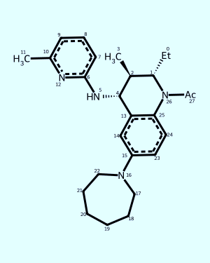 CC[C@H]1[C@H](C)[C@@H](Nc2cccc(C)n2)c2cc(N3CCCCCC3)ccc2N1C(C)=O